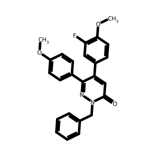 COc1ccc(-c2nn(Cc3ccccc3)c(=O)cc2-c2ccc(OC)c(F)c2)cc1